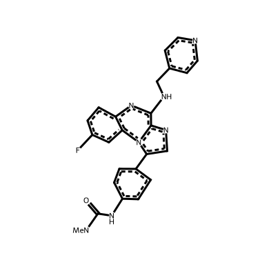 CNC(=O)Nc1ccc(-c2cnc3c(NCc4ccncc4)nc4ccc(F)cc4n23)cc1